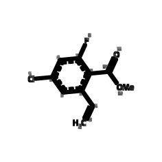 C=Cc1cc(Cl)cc(F)c1C(=O)OC